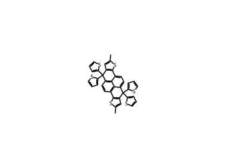 Cc1cc2c(s1)-c1ccc3c4c(ccc(c14)C2(c1cccs1)c1cccs1)-c1sc(C)cc1C3(c1cccs1)c1cccs1